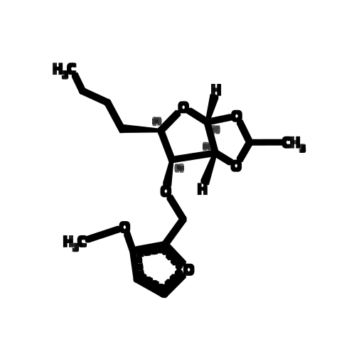 CCCC[C@H]1O[C@@H]2OC(C)O[C@@H]2[C@H]1OCc1occc1OC